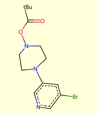 CC(C)(C)C(=O)ON1CCN(c2cncc(Br)c2)CC1